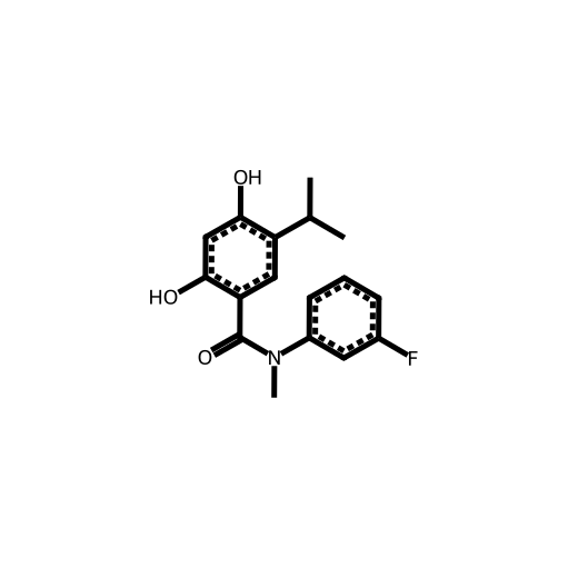 CC(C)c1cc(C(=O)N(C)c2cccc(F)c2)c(O)cc1O